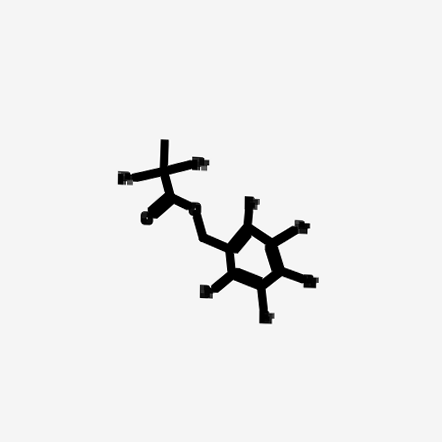 CC(C)C(C)(C(=O)OCc1c(Br)c(Br)c(Br)c(Br)c1Br)C(C)C